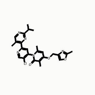 Cc1nc(COc2cc(C)n(-c3cc(-c4nc(C(C)C)ncc4C)ncc3Cl)c(=O)c2C)co1